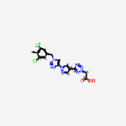 Cc1c(Cl)cc(Cn2cc(-n3cc(-c4nnn(CC(=O)O)n4)cn3)nn2)cc1Cl